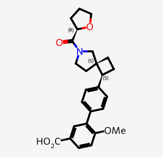 COc1ccc(C(=O)O)cc1-c1ccc([C@@H]2CC[C@]23CCN(C(=O)[C@H]2CCCO2)C3)cc1